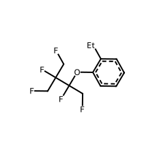 CCc1ccccc1OC(F)(CF)C(F)(CF)CF